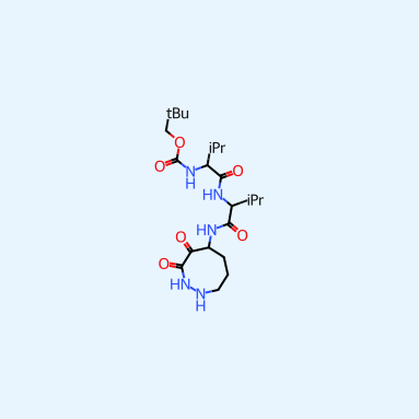 CC(C)C(NC(=O)OCC(C)(C)C)C(=O)NC(C(=O)NC1CCCNNC(=O)C1=O)C(C)C